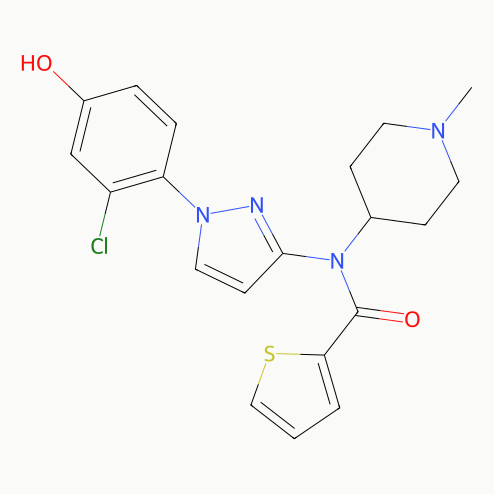 CN1CCC(N(C(=O)c2cccs2)c2ccn(-c3ccc(O)cc3Cl)n2)CC1